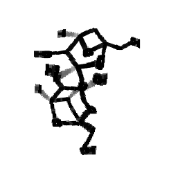 OCC12C[C@@H](O1)C(O)[C@H](O[C@H]1[C@H]3OC1(CO)O[C@@H](O)C3O)O2